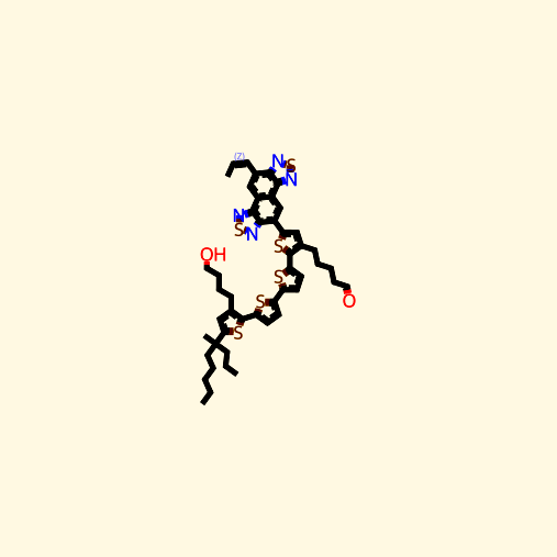 C/C=C\c1cc2c(cc(-c3cc(CCCCC=O)c(-c4ccc(-c5ccc(-c6sc(C(C)(CCC)CCCCC)cc6CCCCO)s5)s4)s3)c3nsnc32)c2nsnc12